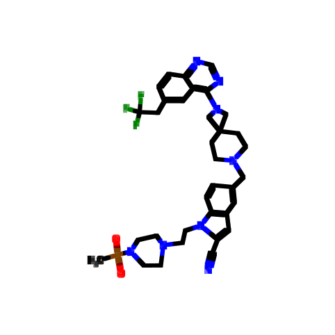 CS(=O)(=O)N1CCN(CCn2c(C#N)cc3cc(CN4CCC5(CC4)CN(c4ncnc6ccc(CC(F)(F)F)cc46)C5)ccc32)CC1